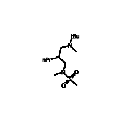 CCCC(CN(C)C(C)(C)C)CN(C)S(C)(=O)=O